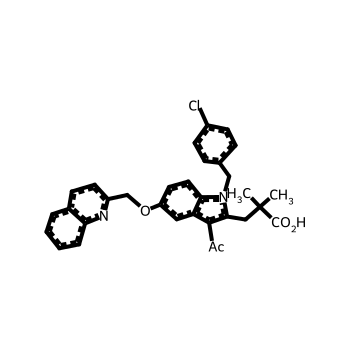 CC(=O)c1c(CC(C)(C)C(=O)O)n(Cc2ccc(Cl)cc2)c2ccc(OCc3ccc4ccccc4n3)cc12